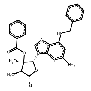 CC[C@H]1O[C@@H](n2cnc3c(NCc4ccccc4)nc(N)nc32)[C@](C)(OC(=O)c2ccccc2)[C@@H]1C